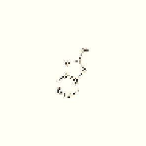 OB1Oc2ccccc2O1